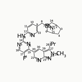 CCN1C2CCC1CN(Cc1ccc(Nc3ncc(F)c(-c4cnc5nn(C)c(C(C)C)c5c4)n3)nc1)C2